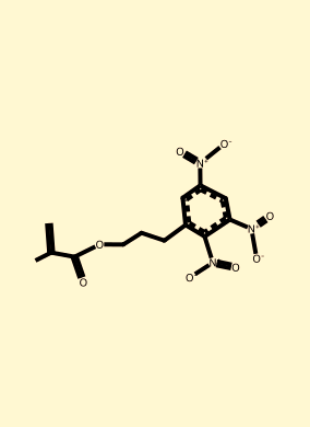 C=C(C)C(=O)OCCCc1cc([N+](=O)[O-])cc([N+](=O)[O-])c1[N+](=O)[O-]